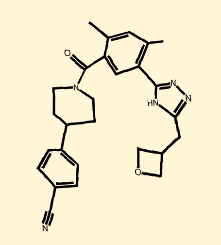 Cc1cc(C)c(-c2nnc(CC3COC3)[nH]2)cc1C(=O)N1CCC(c2ccc(C#N)cc2)CC1